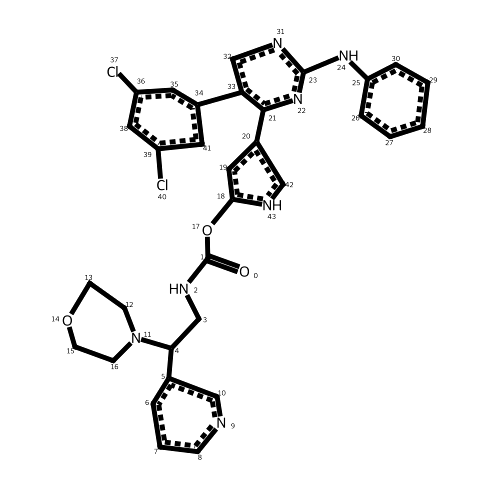 O=C(NCC(c1cccnc1)N1CCOCC1)Oc1cc(-c2nc(Nc3ccccc3)ncc2-c2cc(Cl)cc(Cl)c2)c[nH]1